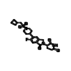 O=C1CCC(N2Cc3cc(C4CCN(S(=O)(=O)CC5CCC5)CC4)c(F)cc3C2=O)C(=O)N1